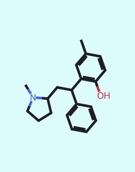 Cc1ccc(O)c(C(CC2CCCN2C)c2ccccc2)c1